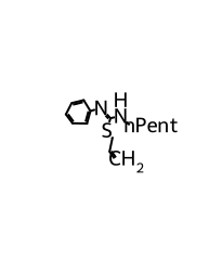 C=CCSC(=Nc1ccccc1)NCCCCC